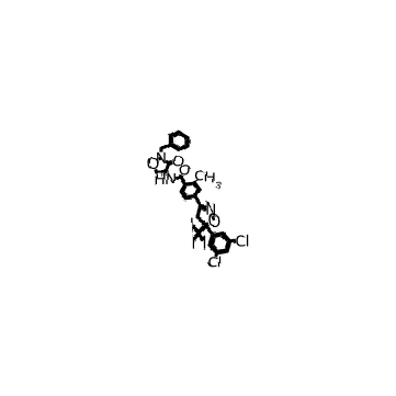 Cc1cc(C2=NOC(c3cc(Cl)cc(Cl)c3)(C(I)(I)I)C2)ccc1C(=O)N[C@@H]1CON(Cc2ccccc2)C1=O